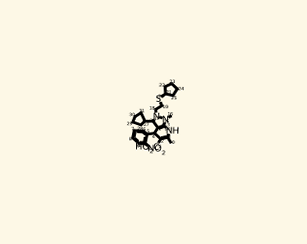 CC1=C(C(=O)O)C(c2ccccc2[N+](=O)[O-])C2=C(N1)N(C)N(CCSC1CCCC1)C2C1CCCC1